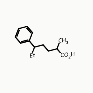 CCC(CCC(C)C(=O)O)c1ccccc1